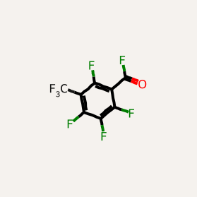 O=C(F)c1c(F)c(F)c(F)c(C(F)(F)F)c1F